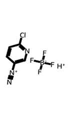 F[B-](F)(F)F.N#[N+]c1ccc(Cl)nc1.[H+]